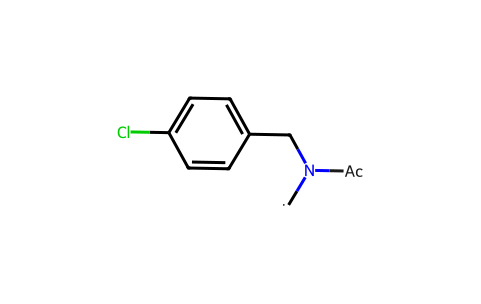 [CH2]N(Cc1ccc(Cl)cc1)C(C)=O